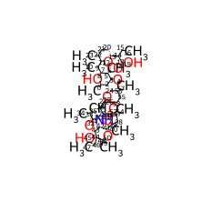 CCC(C(=O)[C@@H](C)[C@@H](O)[C@H](C)[C@@H]1O[C@@H]([C@@H](CC)C(=O)O)CC[C@@H]1C)[C@H]1O[C@]2(C=C[C@@H](NC(=O)C(C)C)[C@]3(CC[C@@](C)([C@H]4CC[C@](O)(CC)[C@H](C)O4)O3)O2)[C@H](C)C[C@@H]1C